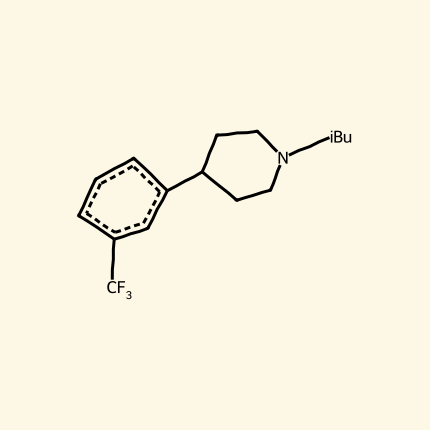 CCC(C)N1CCC(c2cccc(C(F)(F)F)c2)CC1